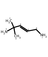 CC(C)(N)/C=C/CN